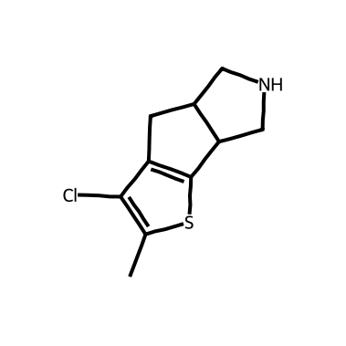 Cc1sc2c(c1Cl)CC1CNCC21